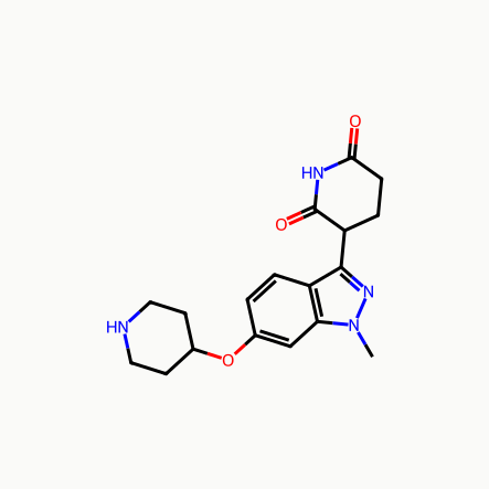 Cn1nc(C2CCC(=O)NC2=O)c2ccc(OC3CCNCC3)cc21